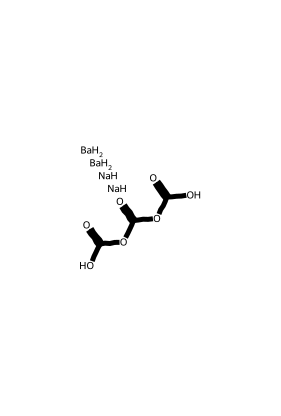 O=C(O)OC(=O)OC(=O)O.[BaH2].[BaH2].[NaH].[NaH]